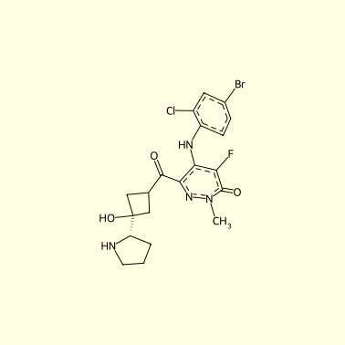 Cn1nc(C(=O)C2CC(O)([C@@H]3CCCN3)C2)c(Nc2ccc(Br)cc2Cl)c(F)c1=O